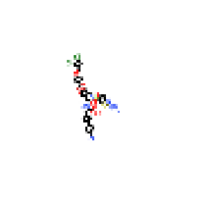 N#Cc1ccc(-c2ccc(CC(NC(=O)[C@@H]3Cc4cc5c(cc4CN3S(=O)(=O)c3ccc4nc(N)sc4c3)O[C@@H](c3ccc(OCc4ccc(Cl)c(Cl)c4)cc3)CO5)C(=O)O)cc2)cc1